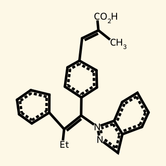 CC/C(=C(/c1ccc(/C=C(\C)C(=O)O)cc1)n1ncc2ccccc21)c1ccccc1